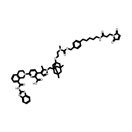 Cc1c(-c2ccc(N3CCc4cccc(C(=O)Nc5nc6ccccc6s5)c4C3)nc2C(=O)O)cnn1CC12CC3(C)CC(C)(C1)CC(OCCN(C)C(=O)OCc1[c]cc(CCCCCNC(=O)CCN4C(=O)C=CC4=O)cc1)(C3)C2